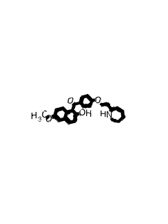 COc1ccc2c(C(=O)c3ccc(OCCC4CCCCCN4)cc3)c(O)ccc2c1